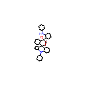 OC1(c2ccccc2Nc2ccccc2)c2ccccc2C2(c3ccccc3N(c3ccccc3)c3ccccc32)c2ccccc21